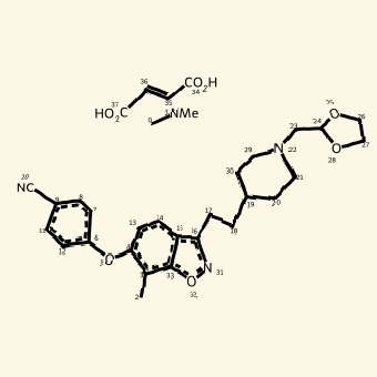 CNC.Cc1c(Oc2ccc(C#N)cc2)ccc2c(CCC3CCN(CC4OCCO4)CC3)noc12.O=C(O)C=CC(=O)O